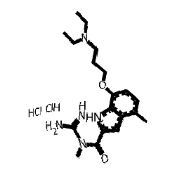 CCN(CC)CCCOc1ccc(C)c2cc(C(=O)N(C)C(=N)N)[nH]c12.Cl.Cl